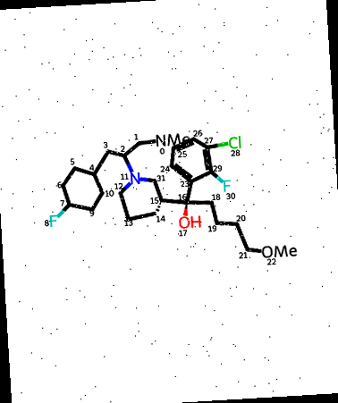 CNCC(CC1CCC(F)CC1)N1CCC[C@@H]([C@@](O)(CCCCOC)c2cccc(Cl)c2F)C1